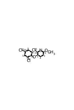 COc1ccc(Oc2ccc(Cl)cc2Cl)c(Cl)n1